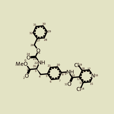 COC(=O)[C@H](Cc1ccc(NC(=O)c2c(Cl)cncc2Cl)cc1)NC(=O)OCc1ccccc1